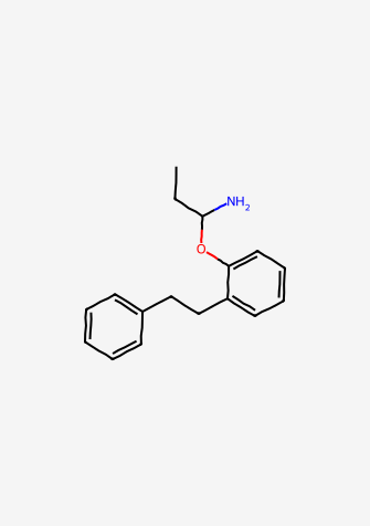 CCC(N)Oc1ccccc1CCc1ccccc1